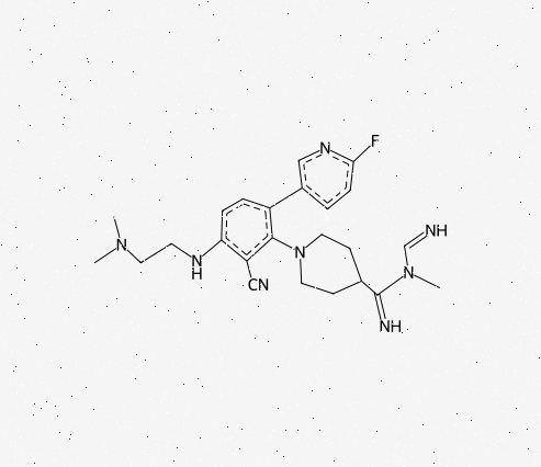 CN(C)CCNc1ccc(-c2ccc(F)nc2)c(N2CCC(C(=N)N(C)C=N)CC2)c1C#N